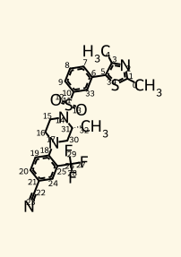 Cc1nc(C)c(-c2cccc(S(=O)(=O)N3CCN(c4ccc(C#N)cc4C(F)(F)F)C[C@H]3C)c2)s1